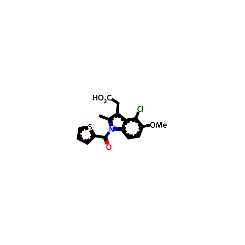 COc1ccc2c(c1Cl)c(CC(=O)O)c(C)n2C(=O)c1cccs1